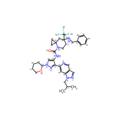 CC(C)Cn1ncc2cnc(-c3nn(C4CCCCO4)cc3NC(=O)N3CCC(NCc4ccccc4)(C(F)(F)F)CC34CC4)cc21